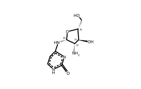 N[C@H]1[C@H](O)[C@@H](CO)O[C@H]1Nc1cc[nH]c(=O)n1